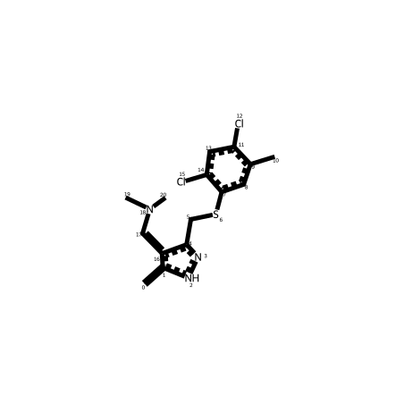 C=c1[nH]nc(CSc2cc(C)c(Cl)cc2Cl)c1=CN(C)C